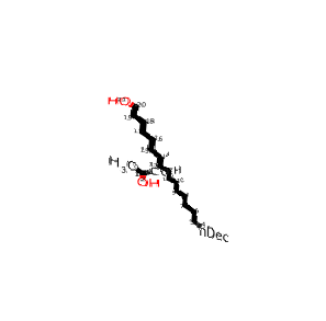 CC(O)C(=O)O.CCCCCCCCCCCCCCCCCCCCCCCCCCO